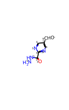 NNC(=O)c1ncc([C]=O)cn1